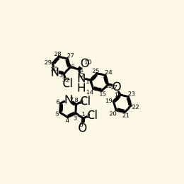 O=C(Cl)c1cccnc1Cl.O=C(Nc1ccc(Oc2ccccc2)cc1)c1cccnc1Cl